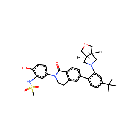 CC(C)(C)c1ccc(-c2ccc3c(c2)CCN(c2ccc(O)c(NS(C)(=O)=O)c2)C3=O)c(N2C[C@H]3COC[C@@H]3C2)c1